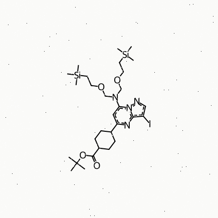 CC(C)(C)OC(=O)C1CCC(c2cc(N(COCC[Si](C)(C)C)COCC[Si](C)(C)C)n3ncc(I)c3n2)CC1